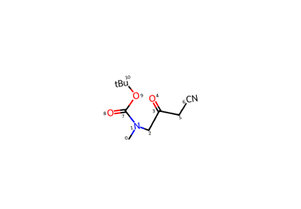 CN(CC(=O)CC#N)C(=O)OC(C)(C)C